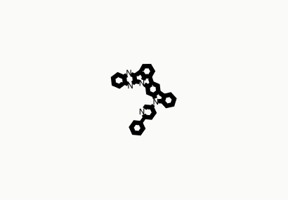 c1ccc(-c2ccc(-n3c4ccccc4c4cc5c6cccc7c8nc9ccccc9nc8n(c5cc43)c67)cn2)cc1